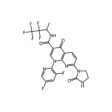 CC(NC(=O)c1cn(-c2ncc(F)cc2F)c2nc(N3CCNC3=O)ccc2c1=O)C(F)(F)C(F)(F)F